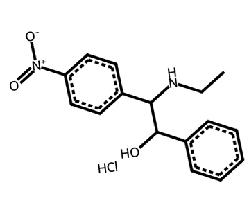 CCNC(c1ccc([N+](=O)[O-])cc1)C(O)c1ccccc1.Cl